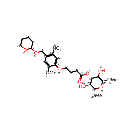 COc1cc(COC2CCCCO2)c([N+](=O)[O-])cc1OCCCC(=O)O[C@H]1[C@H](O)[C@@H](OC)O[C@H](OC)[C@@H]1O